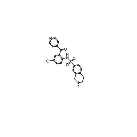 O=C(c1ccncc1)c1cc(Cl)ccc1NS(=O)(=O)c1ccc2c(c1)CNCC2